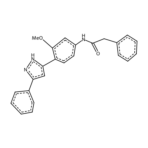 COc1cc(NC(=O)Cc2ccccc2)ccc1-c1cc(-c2ccccc2)n[nH]1